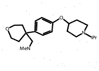 CNCC1(c2ccc(OC3CCN(C(C)C)CC3)cc2)CCOCC1